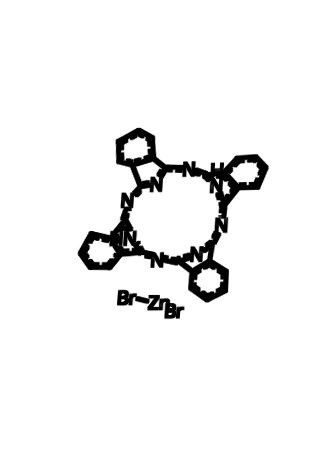 [Br][Zn][Br].c1ccc2c(c1)-c1nc-2nc2[nH]c(nc3nc(nc4[nH]c(n1)c1ccccc41)-c1ccccc1-3)c1ccccc21